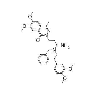 COc1ccc(CCN(Cc2ccccc2)C(N)CCn2nc(C)c3cc(OC)c(OC)cc3c2=O)cc1OC